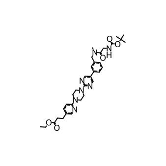 CCOC(=O)CCc1ccc(N2CCN(c3ncc(-c4cccc(CN(C)C(=O)CNC(=O)OC(C)(C)C)c4)cn3)CC2)nc1